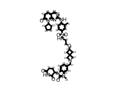 Cc1cc(S(=O)(=O)NCCOC2CC3(C2)CN(Cc2ccc4c(c2)n(C)c(=O)n4C2CCC(=O)NC2=O)C3)ccc1Nc1ncc2ccc(=O)n(C3CCCC3)c2n1